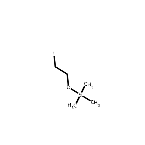 C[Si](C)(C)OCCI